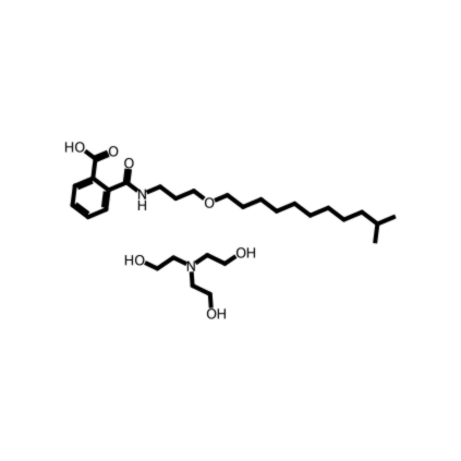 CC(C)CCCCCCCCCOCCCNC(=O)c1ccccc1C(=O)O.OCCN(CCO)CCO